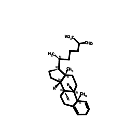 C[C@H](CCCC(C=O)C(=O)O)[C@H]1CC[C@H]2[C@@H]3CCC4=CCC=C[C@]4(C)[C@H]3CC[C@]12C